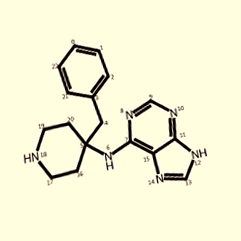 c1ccc(CC2(Nc3ncnc4[nH]cnc34)CCNCC2)cc1